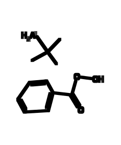 C[C](C)(C)[AlH2].O=C(OO)c1ccccc1